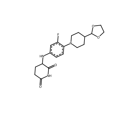 O=C1CCC(Nc2ccc(N3CCC(C4OCCO4)CC3)c(F)c2)C(=O)N1